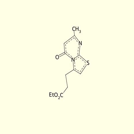 CCOC(=O)CCc1csc2nc(C)cc(=O)n12